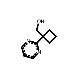 OCC1(c2ncccn2)CCC1